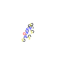 C=C(CN1CCN(CC(=O)N(Cc2cccs2)Cc2cccs2)CC1)N(Cc1cccs1)Cc1cccs1